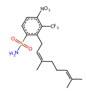 CC(C)=CCCC(C)=CCc1c(S(N)(=O)=O)ccc([N+](=O)[O-])c1C(F)(F)F